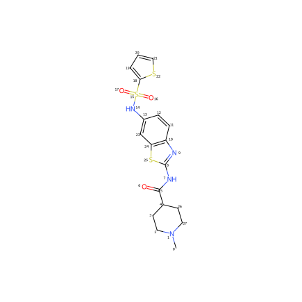 CN1CCC(C(=O)Nc2nc3ccc(NS(=O)(=O)c4cccs4)cc3s2)CC1